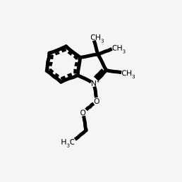 CCOO[N+]1=C(C)C(C)(C)c2ccccc21